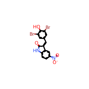 O=C1Nc2ccc([N+](=O)[O-])cc2C1=Cc1cc(Br)c(O)c(Br)c1